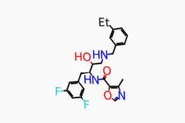 CCc1cccc(CNC[C@H](O)[C@H](Cc2cc(F)cc(F)c2)NC(=O)c2ocnc2C)c1